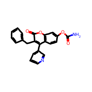 NC(=O)Oc1ccc2c(-c3cccnc3)c(Cc3ccccc3)c(=O)oc2c1